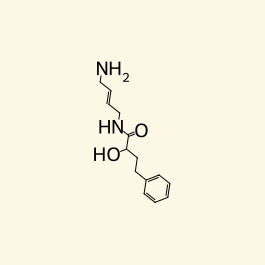 NCC=CCNC(=O)C(O)CCc1ccccc1